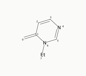 C=C1C=CN=CN1CC